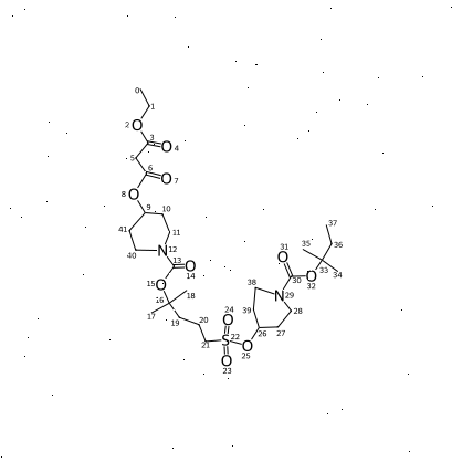 CCOC(=O)CC(=O)OC1CCN(C(=O)OC(C)(C)CCCS(=O)(=O)OC2CCN(C(=O)OC(C)(C)CC)CC2)CC1